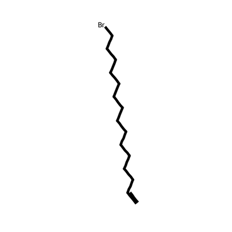 C=CCCCCCCCCCCCCCBr